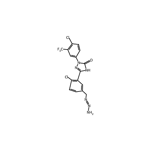 NN=NCc1ccc(Cl)c(-c2nn(-c3ccc(Cl)c(C(F)(F)F)c3)c(=O)[nH]2)c1